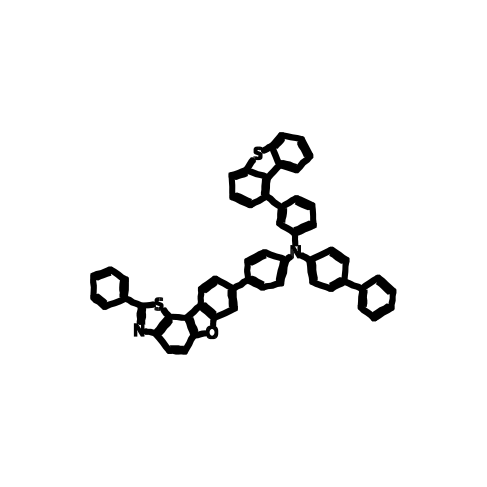 c1ccc(-c2ccc(N(c3ccc(-c4ccc5c(c4)oc4ccc6nc(-c7ccccc7)sc6c45)cc3)c3cccc(-c4cccc5sc6ccccc6c45)c3)cc2)cc1